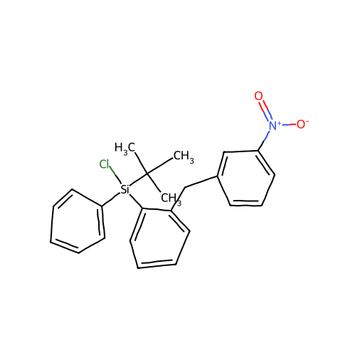 CC(C)(C)[Si](Cl)(c1ccccc1)c1ccccc1Cc1cccc([N+](=O)[O-])c1